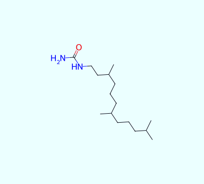 CC(C)CCCC(C)CCCC(C)CCNC(N)=O